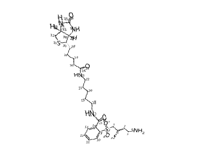 NC/C=C(\F)CS(=O)(=O)c1ccccc1C(=O)NCCCCCNC(=O)CCCC[C@@H]1SC[C@@H]2NC(=O)N[C@@H]21